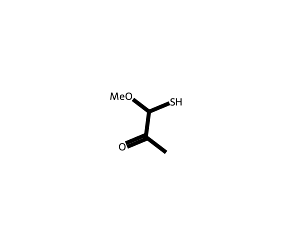 COC(S)C(C)=O